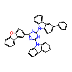 c1ccc(-c2ccc3c(c2)c2ccccc2n3-c2nc(-c3ccc4oc5ccccc5c4c3)nc(-n3c4ccccc4c4ccccc43)n2)cc1